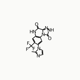 Cc1nccn1-c1cc2c(cc1C(F)(F)F)[nH]c(=O)c1n[nH]c(=O)n12